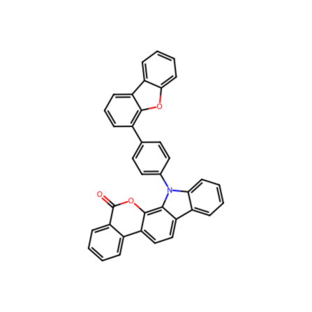 O=c1oc2c(ccc3c4ccccc4n(-c4ccc(-c5cccc6c5oc5ccccc56)cc4)c32)c2ccccc12